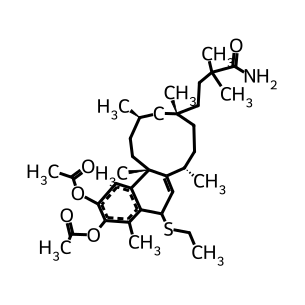 CCSC1C=C2[C@@H](C)CC[C@@](C)(CCC(C)(C)C(N)=O)C[C@H](C)CC[C@@]2(C)c2cc(OC(C)=O)c(OC(C)=O)c(C)c21